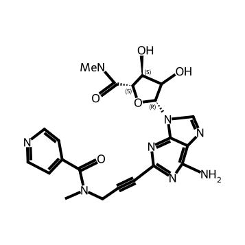 CNC(=O)[C@H]1O[C@@H](n2cnc3c(N)nc(C#CCN(C)C(=O)c4ccncc4)nc32)C(O)[C@@H]1O